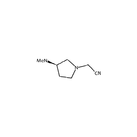 CN[C@@H]1CCN(CC#N)C1